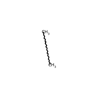 CCCCCCCC=CCCCCCCCCCCCCCC